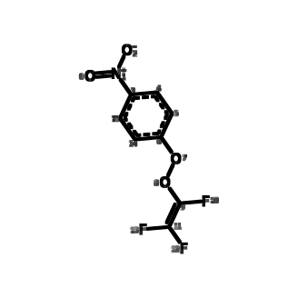 O=[N+]([O-])c1ccc(OOC(F)=C(F)F)cc1